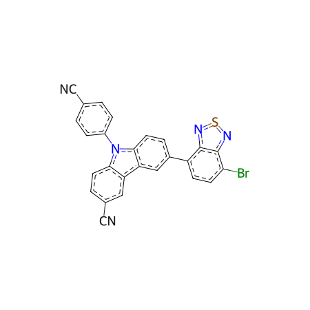 N#Cc1ccc(-n2c3ccc(C#N)cc3c3cc(-c4ccc(Br)c5nsnc45)ccc32)cc1